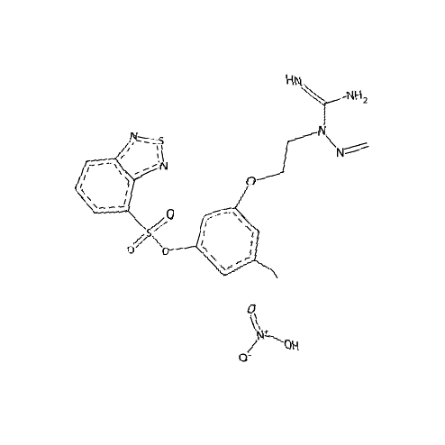 C=NN(CCOc1cc(C)cc(OS(=O)(=O)c2cccc3nsnc23)c1)C(=N)N.O=[N+]([O-])O